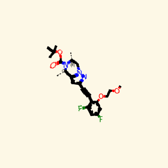 COCCOc1cc(F)cc(F)c1C#Cc1cc2n(n1)C[C@@H](C)N(C(=O)OC(C)(C)C)[C@H]2C